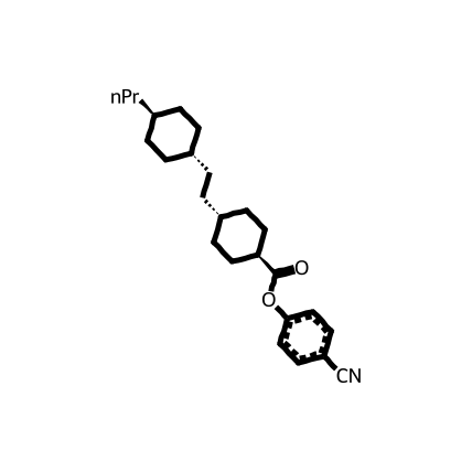 CCC[C@H]1CC[C@H](CC[C@H]2CC[C@H](C(=O)Oc3ccc(C#N)cc3)CC2)CC1